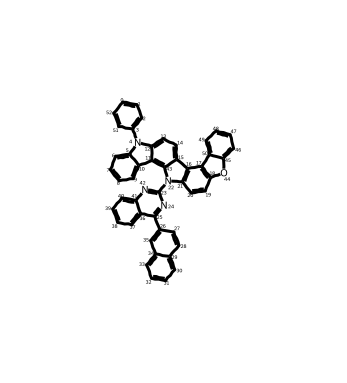 c1ccc(-n2c3ccccc3c3c2ccc2c4c5c(ccc4n(-c4nc(-c6ccc7ccccc7c6)c6ccccc6n4)c23)oc2ccccc25)cc1